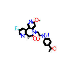 COc1cc2c(cn1)-c1cc(F)cnc1[C@@H](C)C(=O)N2CC(=O)Nc1ccc(C(C)=O)cc1